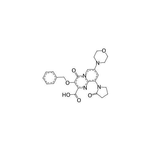 O=C(O)c1nc2c(N3CCCC3=O)cc(N3CCOCC3)cn2c(=O)c1OCc1ccccc1